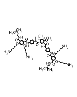 COc1cc(OC)c(C(=O)Nc2ccc(NC(=O)c3cc(C(=O)NCCN(C)C)c(OCCCCCN)cc3OCCCCCN)cc2)cc1C(=O)Nc1ccc(NC(=O)c2cc(C(=O)NCCN(C)C)c(OCCCCCN)cc2OCCCCCN)cc1